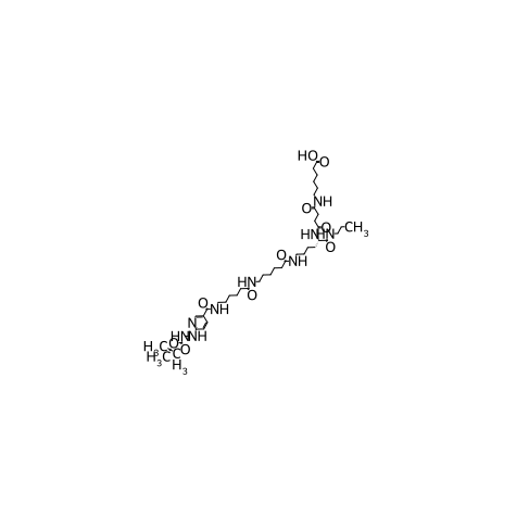 CCCNC(=O)[C@H](CCCCNC(=O)CCCCCNC(=O)CCCCCNC(=O)c1ccc(NNC(=O)OC(C)(C)C)nc1)NC(=O)CCC(=O)NCCCCCC(=O)O